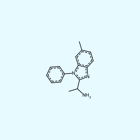 Cc1ccc2nc(C(C)N)n(-c3ccccc3)c2c1